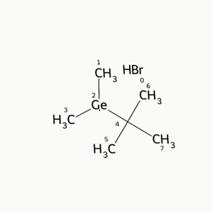 Br.[CH3][Ge]([CH3])[C](C)(C)C